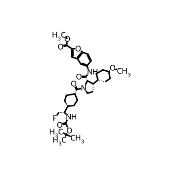 COC(=O)c1cc2cc(NC(=O)[C@@H]3[C@H]([C@H]4CC[C@H](OC)CC4)CCN3C(=O)[C@H]3CC[C@H]([C@@H](CF)NC(=O)OC(C)(C)C)CC3)ccc2o1